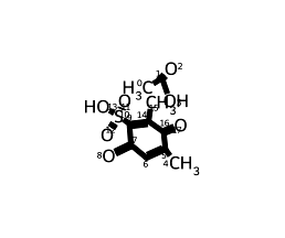 CC(=O)O.CC1=CC(=O)C(S(=O)(=O)O)=C(C)C1=O